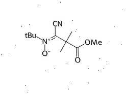 COC(=O)C(C)(C)/C(C#N)=[N+](\[O-])C(C)(C)C